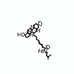 CC(C)CCNC(=O)CCCCCCC[C@@H]1C[C@H]2CC(=O)CC[C@]2(C)[C@H]2CC[C@]3(C)[C@@H](O)CC[C@H]3[C@H]12